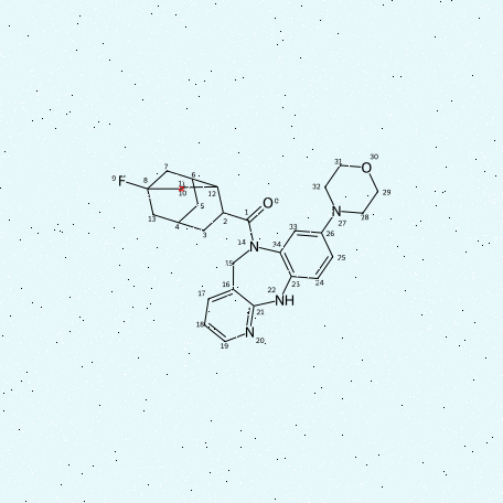 O=C(C1CC2CC3CC(F)(CCC31)C2)N1Cc2cccnc2Nc2ccc(N3CCOCC3)cc21